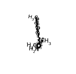 CCN(CCCCOCCOCCOCCOC)c1ccc(N)c(C)c1